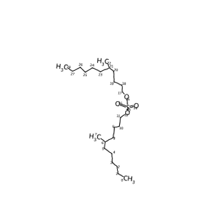 CCCCCCC(C)CCCCOS(=O)(=O)OCCCCC(C)CCCCCC